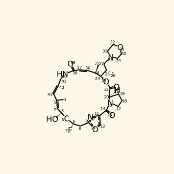 CC1=C\[C@@H](O)C[C@@H](F)Cc2nc(co2)C(=O)N2CCC[C@@H]2C(=O)O[C@H]([C@@H](C)CN2CCOCC2)[C@H](C)/C=C/C(=O)NC\C=C\1